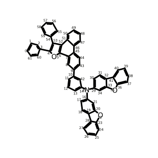 c1ccc(-c2oc3c4cc(-c5cccc(N(c6ccc7c(c6)oc6ccccc67)c6ccc7c(c6)oc6ccccc67)c5)ccc4c4ccccc4c3c2-c2ccccc2)cc1